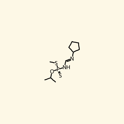 CSP(=S)(NC=NC1CCCC1)OC(C)C